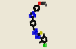 Cc1ccc(Cl)c(C)c1NC(=S)N/N=C/c1ccc(-c2ncn(-c3ccc(OC(F)(F)F)cc3)n2)cc1